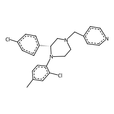 Cc1ccc(N2CCN(Cc3ccncc3)C[C@H]2c2ccc(Cl)cc2)c(Cl)c1